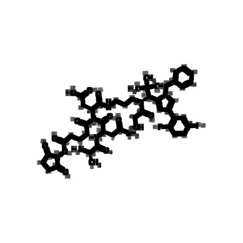 C[C@H](N)C(=O)N[C@H](CC(N)=O)C(=O)N(C(=O)CCCC(=O)ON1C(=O)CCC1=O)[C@@H](CC(=O)O)C(=O)NCCCN(C(=O)CO)[C@@H](c1cc(-c2cc(F)ccc2F)cn1Cc1ccccc1)C(C)(C)C